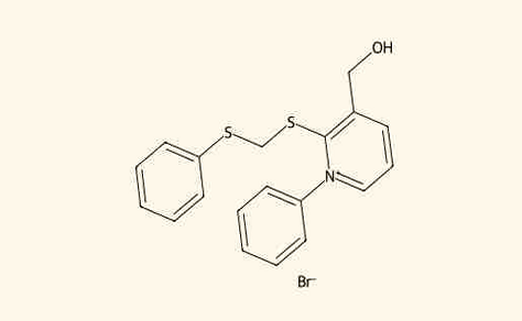 OCc1ccc[n+](-c2ccccc2)c1SCSc1ccccc1.[Br-]